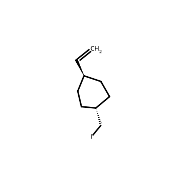 C=C[C@H]1CC[C@H](CI)CC1